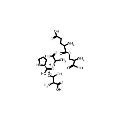 CC(N)C(=O)O.CC(O)C(N)C(=O)O.NC(COC(=O)C(N)CCC(=O)O)C(=O)O.O=C(O)[C@@H]1CCCN1